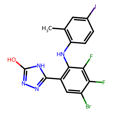 Cc1cc(I)ccc1Nc1c(-c2nnc(O)[nH]2)cc(Br)c(F)c1F